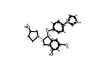 OC1CCN([C@H]2Cc3c(Cl)cc(Cl)cc3[C@@H]2Oc2ccc(-n3ccnc3)cc2)C1